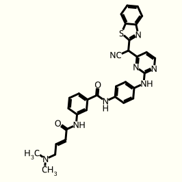 CN(C)C/C=C/C(=O)Nc1cccc(C(=O)Nc2ccc(Nc3nccc(C(C#N)c4nc5ccccc5s4)n3)cc2)c1